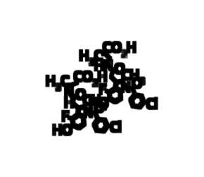 Cc1c(CC(=O)NC(C)CC(=O)O)c2c(F)c(O)ccc2n1C(=O)c1cccc(Cl)c1.Cc1c(CC(=O)NCC(C)C(=O)O)c2c(F)c(O)ccc2n1C(=O)c1cccc(Cl)c1